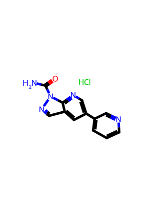 Cl.NC(=O)n1n[c]c2cc(-c3cccnc3)cnc21